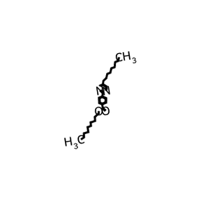 CCCCCCCCCCOC(=O)c1ccc(-c2ncc(CCCCCCCCC)cn2)cc1